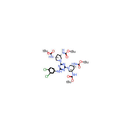 CC(C)(C)OC(=O)N[C@@H]1C[C@H](NC(=O)OC(C)(C)C)CN(c2nc(Nc3ccc(Cl)c(Cl)c3)nc(N3C[C@H](NC(=O)OC(C)(C)C)C[C@H](NC(=O)OC(C)(C)C)C3)n2)C1